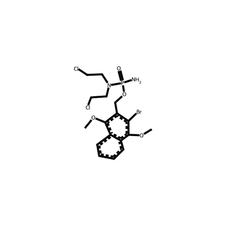 COc1c(Br)c(COP(N)(=O)N(CCCl)CCCl)c(OC)c2ccccc12